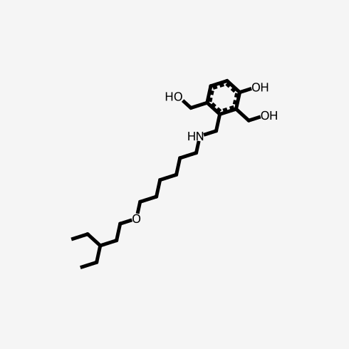 CCC(CC)CCOCCCCCCNCc1c(CO)ccc(O)c1CO